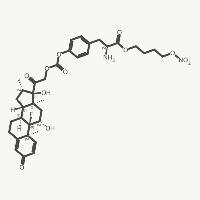 C[C@H]1C[C@H]2[C@@H]3CCC4=CC(=O)C=C[C@]4(C)[C@@]3(F)[C@@H](O)C[C@]2(C)[C@@]1(O)C(=O)COC(=O)Oc1ccc(C[C@H](N)C(=O)OCCCCO[N+](=O)[O-])cc1